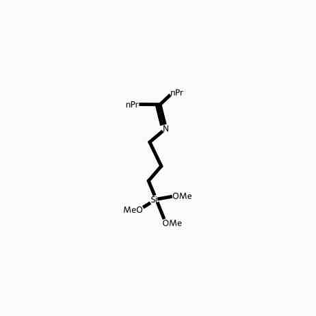 CCCC(CCC)=NCCC[Si](OC)(OC)OC